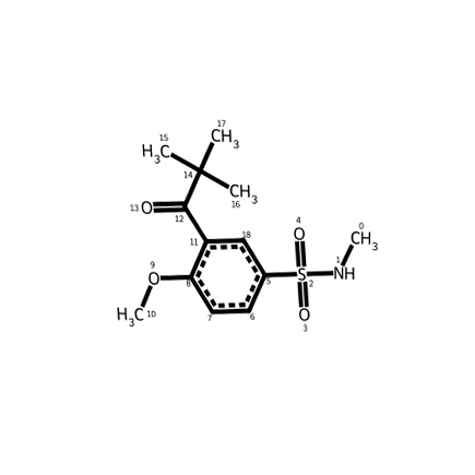 CNS(=O)(=O)c1ccc(OC)c(C(=O)C(C)(C)C)c1